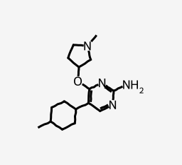 CC1CCC(c2cnc(N)nc2OC2CCN(C)C2)CC1